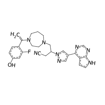 C=C(c1ccc(O)cc1F)N1CCCN(CC(CC#N)n2cc(-c3ncnc4[nH]ccc34)cn2)CC1